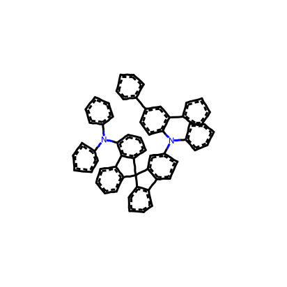 c1ccc(-c2ccc(N(c3ccccc3)c3ccc4c(c3)C3(c5ccccc5-4)c4ccccc4-c4c(N(c5ccccc5)c5ccccc5)cccc43)c(-c3ccccc3)c2)cc1